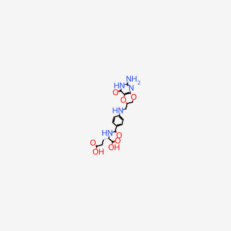 Nc1nc2c(c(=O)[nH]1)OC(CNc1ccc(C(=O)N[C@@H](CCC(=O)O)C(=O)O)cc1)CO2